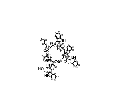 C[C@@H](O)[C@@H]1NC(=O)[C@H](CCCCN)NC(=O)[C@@H](Cc2c[nH]c3ccccc23)NC(=O)[C@H](Cc2ccccc2)NC(=O)[C@@H](NC(=O)[C@H](N)Cc2ccccc2)CSSC[C@@H](C(=O)N[C@@H](Cc2c[nH]c3ccccc23)C(=O)O)NC1=O